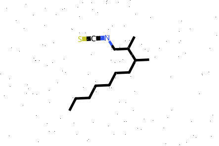 CCCCCCCC(C)C(C)CN=C=S